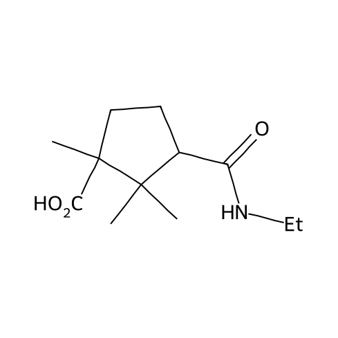 CCNC(=O)C1CCC(C)(C(=O)O)C1(C)C